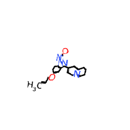 CC=CCOc1ccc2c(c1)c(C1CCN3CCCCC3C1)nn2N=C=O